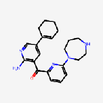 Nc1ncc(C2=CCCCC2)cc1C(=O)c1cccc(N2CCCNCC2)n1